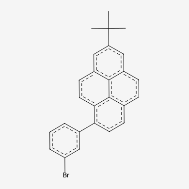 CC(C)(C)c1cc2ccc3ccc(-c4cccc(Br)c4)c4ccc(c1)c2c34